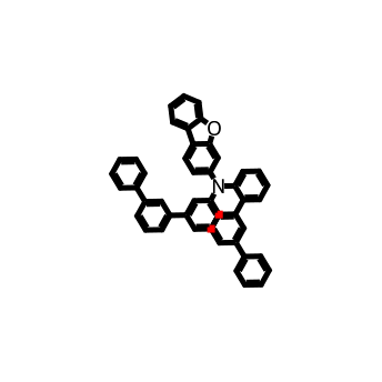 c1ccc(-c2cccc(-c3cccc(N(c4ccc5c(c4)oc4ccccc45)c4ccccc4-c4cccc(-c5ccccc5)c4)c3)c2)cc1